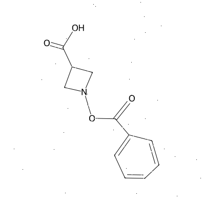 O=C(ON1CC(C(=O)O)C1)c1ccccc1